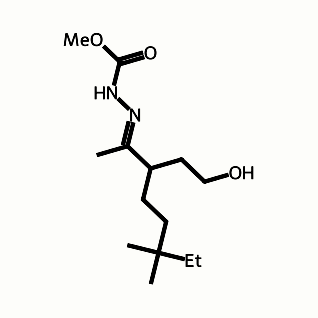 CCC(C)(C)CCC(CCO)/C(C)=N/NC(=O)OC